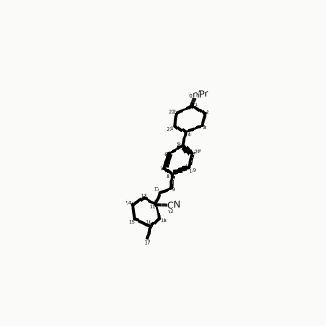 CCCC1CCC(c2ccc(CCC3(C#N)CCCC(C)C3)cc2)CC1